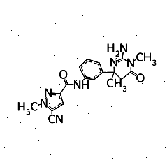 CN1C(=O)CC(C)(c2cccc(NC(=O)c3cc(C#N)n(C)n3)c2)N=C1N